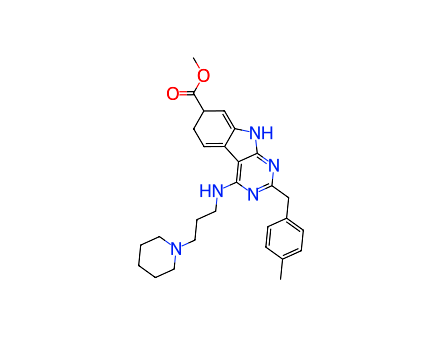 COC(=O)C1C=c2[nH]c3nc(Cc4ccc(C)cc4)nc(NCCCN4CCCCC4)c3c2=CC1